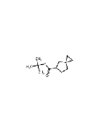 CC(C)(C)OC(=O)C1CCC2(CC2)C1